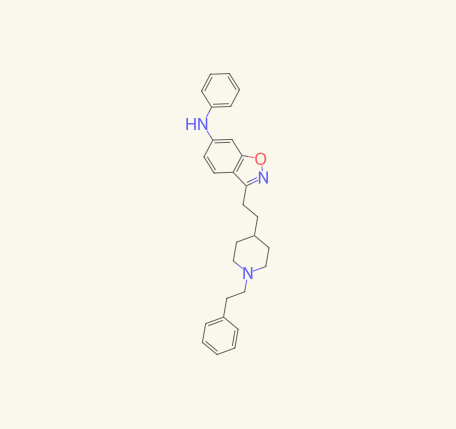 c1ccc(CCN2CCC(CCc3noc4cc(Nc5ccccc5)ccc34)CC2)cc1